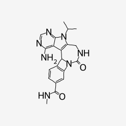 CNC(=O)c1ccc2c(c1)N1C(=O)NCc3c(c4c(N)ncnc4n3C(C)C)C21